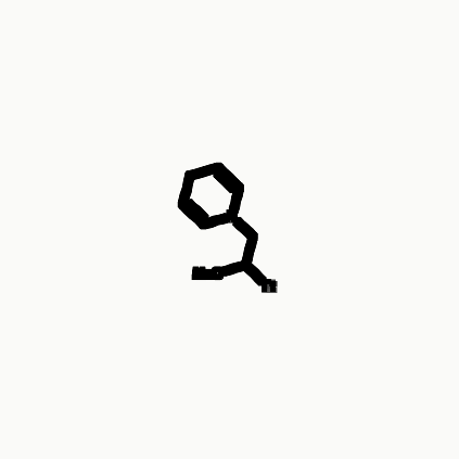 CCC(CN1C=CCC=C1)OC